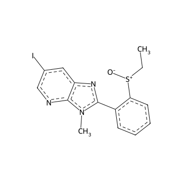 CC[S+]([O-])c1ccccc1-c1nc2cc(I)cnc2n1C